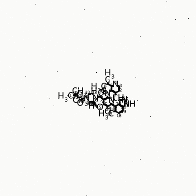 Cc1ccnc(C(C)C)c1N(C)c1nc(-c2c(C)ccc3[nH]ncc23)c(Cl)c2c1C(=O)N1CCN(C(=O)OC(C)(C)C)C[C@@H]1CO2